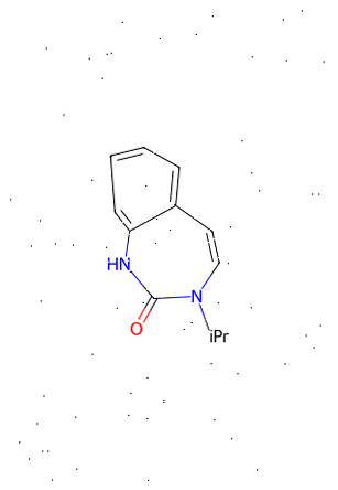 CC(C)N1C=Cc2ccccc2NC1=O